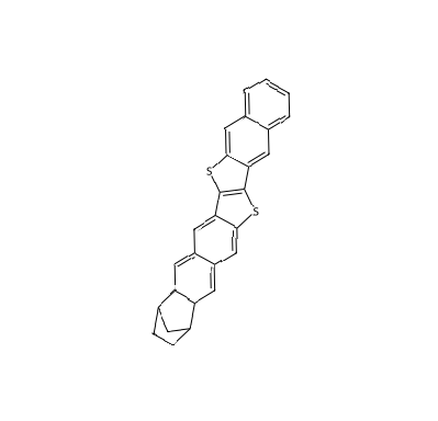 C1=c2cc3sc4c5cc6ccccc6cc5sc4c3cc2=CC2C3CCC(C3)C12